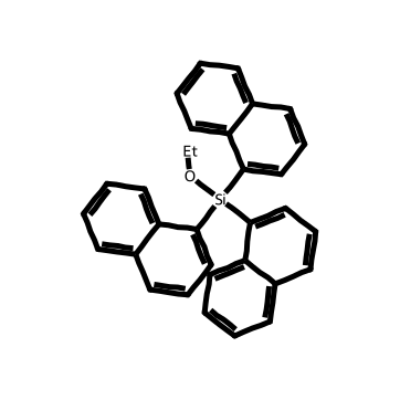 CCO[Si](c1cccc2ccccc12)(c1cccc2ccccc12)c1cccc2ccccc12